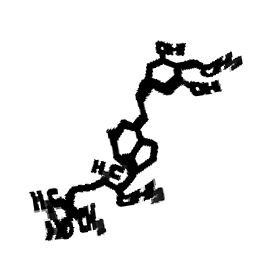 CC=C1[C@H](O)CC(=C/C=C2\CCC[C@@]3(C)C2CCC3C(C)CCCC(C)(C)O)C[C@H]1O